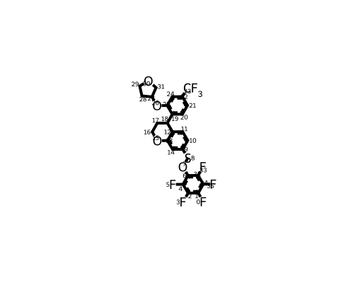 Fc1c(F)c(F)c(OSc2ccc3c(c2)OCCC3c2ccc(C(F)(F)F)cc2OC2CCOC2)c(F)c1F